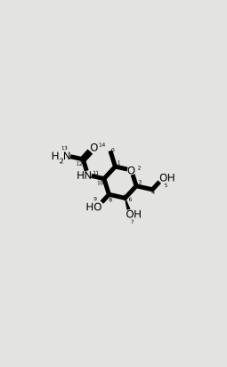 CC1OC(CO)[C@@H](O)C(O)C1NC(N)=O